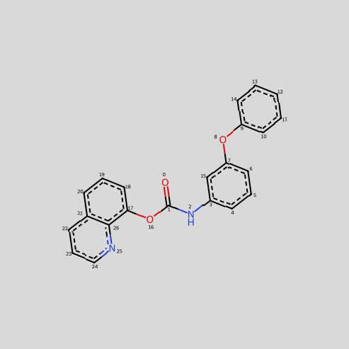 O=C(Nc1cccc(Oc2ccccc2)c1)Oc1cccc2cccnc12